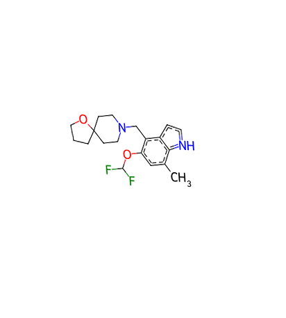 Cc1cc(OC(F)F)c(CN2CCC3(CCCO3)CC2)c2cc[nH]c12